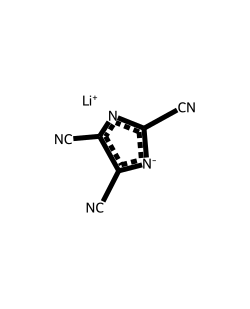 N#Cc1nc(C#N)c(C#N)[n-]1.[Li+]